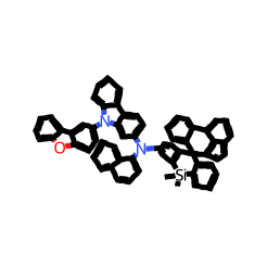 C[Si]1(C)c2ccccc2C2(c3ccccc3-c3cccc4cccc2c34)c2ccc(N(c3ccc4c5ccccc5n(-c5ccc6oc7ccccc7c6c5)c4c3)c3cccc4ccccc34)cc21